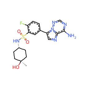 C[C@]1(O)CC[C@H](NS(=O)(=O)c2cc(-c3cnc4c(N)ncnn34)ccc2F)CC1